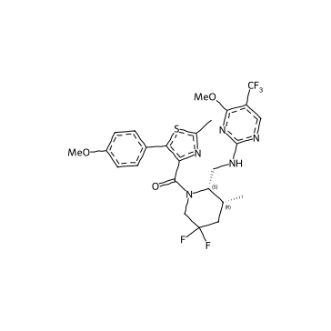 COc1ccc(-c2sc(C)nc2C(=O)N2CC(F)(F)C[C@@H](C)[C@H]2CNc2ncc(C(F)(F)F)c(OC)n2)cc1